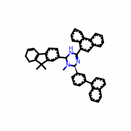 CN1C(c2ccc3c(c2)C(C)(C)C2=C3C=CCC2)NC(c2cc3ccccc3c3ccccc23)=N[C@H]1c1cccc(-c2cccc3ccccc23)c1